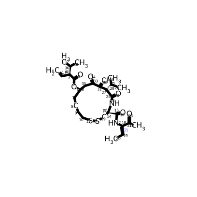 C=C[C@H](C(=O)O[C@@H]1CCCCSSC[C@H](C(=O)N/C(=C\C)C(C)=O)NC(=O)[C@@H](C(C)C)C(=C)C(=O)C1)C(C)C